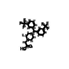 C[C@@H]1CN(C(c2cccc(C(F)(F)F)c2)c2cccc(C(F)(F)F)c2)CCN1CC(=O)O